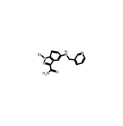 CCn1nc(C(N)=O)c2cc(NCc3cccnc3)ccc21